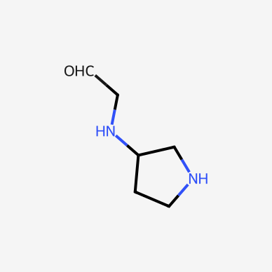 O=CCNC1CCNC1